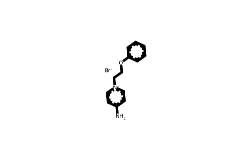 Nc1cc[n+](CCOc2ccccc2)cc1.[Br-]